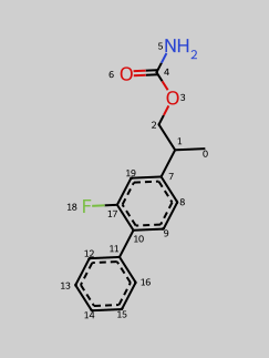 CC(COC(N)=O)c1ccc(-c2ccccc2)c(F)c1